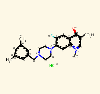 CCn1cc(C(=O)O)c(=O)c2cc(F)c(N3CCN(Cc4cc(C)cc(C)c4)CC3)cc21.Cl